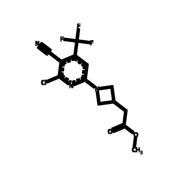 COC(=O)CC1CN(c2cc(C(F)(F)F)c(C#N)c(Cl)n2)C1